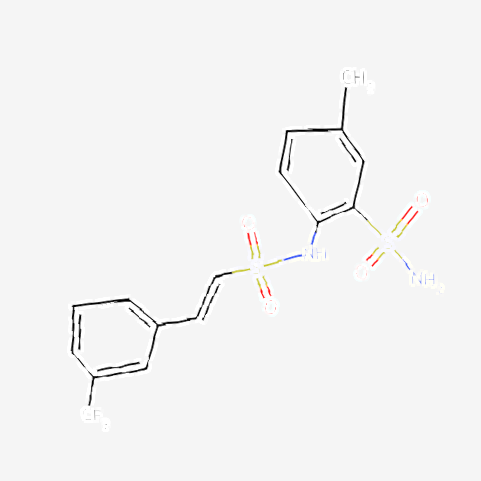 Cc1ccc(NS(=O)(=O)/C=C/c2cccc(C(F)(F)F)c2)c(S(N)(=O)=O)c1